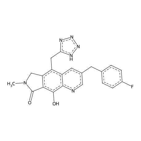 CN1Cc2c(c(O)c3ncc(Cc4ccc(F)cc4)cc3c2Cc2nnn[nH]2)C1=O